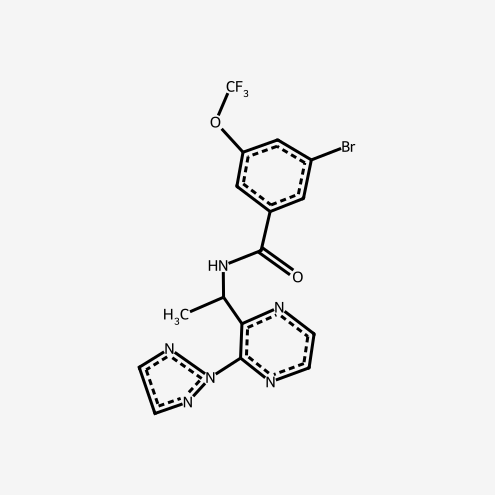 CC(NC(=O)c1cc(Br)cc(OC(F)(F)F)c1)c1nccnc1-n1nccn1